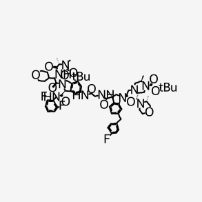 C[C@@H]1COCCN1C[C@H]1CN(C(=O)OC(C)(C)C)[C@H](C)CN1CC(=O)N1C[C@@](C)(C(=O)NCC(=O)Nc2ccc3c(c2)[C@@H](C(=O)Nc2c(F)cccc2F)N(C(=O)C(NC(=O)[C@H](C)N(C)C(=O)OC(C)(C)C)C2CCOCC2)C3)c2ccc(Cc3ccc(F)cc3)cc21